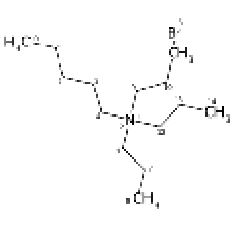 CCCCC[N+](CCC)(CCC)CCC.[Br-]